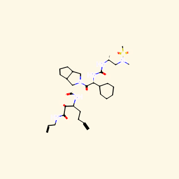 C#CCCC(NC(=O)[C@@H]1[C@H]2CCC[C@H]2CN1C(=O)[C@@H](NC(=O)N[C@H](CN(C)S(C)(=O)=O)C(C)(C)C)C1CCCCC1)C(=O)C(=O)NCC=C